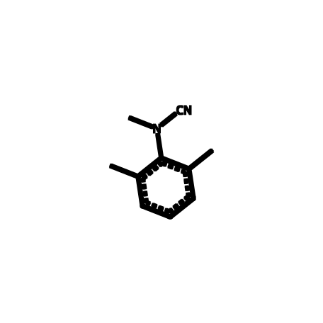 Cc1cccc(C)c1N(C)C#N